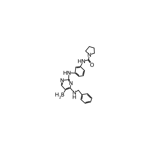 Bc1cnc(Nc2cccc(NC(=O)N3CCCC3)c2)nc1NCc1ccccc1